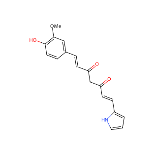 COc1cc(/C=C/C(=O)CC(=O)/C=C/c2ccc[nH]2)ccc1O